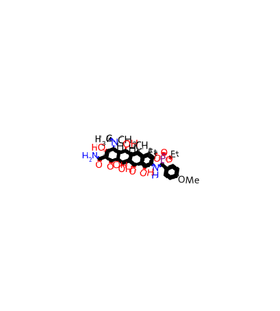 CCOP(=O)(OCC)C(Nc1ccc2c(c1O)C(=O)C1=C(O)[C@]3(O)C(=O)C(C(N)=O)=C(O)[C@@H](N(C)C)[C@@H]3[C@@H](O)[C@@H]1[C@H]2C)c1ccc(OC)cc1